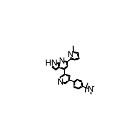 Cc1cccc(-c2cc(-c3cncc(-c4ccc(C(C)(C)N(C)C)cc4)c3)c3cc[nH]c3n2)n1